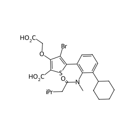 CC(C)CC(=O)N(C)c1c(-c2sc(C(=O)O)c(OCC(=O)O)c2Br)cccc1C1CCCCC1